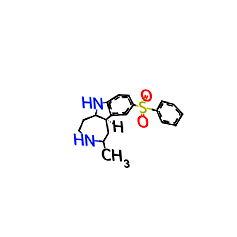 CC1C[C@@H]2c3cc(S(=O)(=O)c4ccccc4)ccc3NC2CCN1